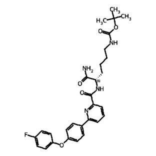 CC(C)(C)OC(=O)NCCCC[C@H](NC(=O)c1cccc(-c2ccc(Oc3ccc(F)cc3)cc2)n1)C(N)=O